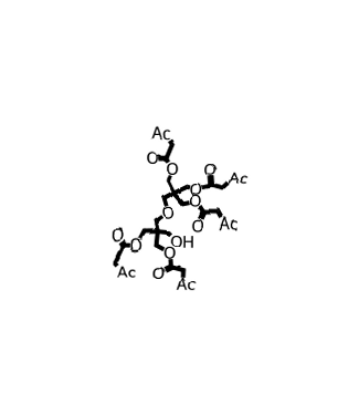 CC(=O)CC(=O)OCC(CO)(COCC(COC(=O)CC(C)=O)(COC(=O)CC(C)=O)COC(=O)CC(C)=O)COC(=O)CC(C)=O